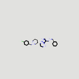 Cc1nn2c([C@H]3CCCN(Cc4ccc(Cl)cc4)C3)ccnc2c1CNC(C)c1ccccc1